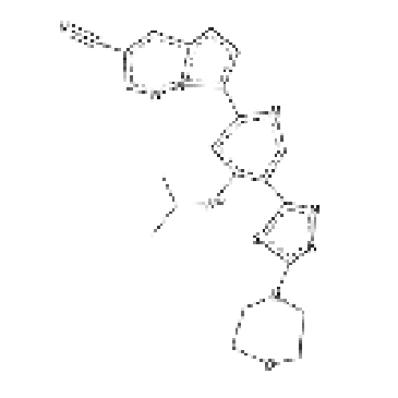 CC(C)Nc1cc(-c2ccc3cc(C#N)cnn23)ncc1-c1nnc(N2CCOCC2)s1